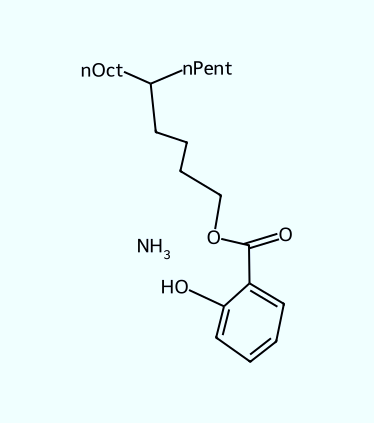 CCCCCCCCC(CCCCC)CCCCOC(=O)c1ccccc1O.N